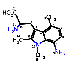 Cc1ccc(N)c2c1c(CC(N)C(=O)O)c(C)n2C